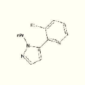 CCCn1nccc1-c1ncccc1CC